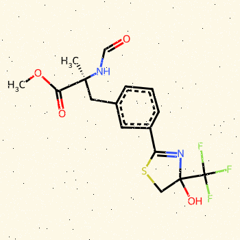 COC(=O)[C@](C)(Cc1cccc(C2=NC(O)(C(F)(F)F)CS2)c1)NC=O